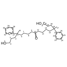 CC(CCCO)(CCCCC(=O)CCCCC(C)(CCC(=O)O)c1ccccc1)c1ccccc1